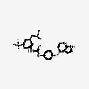 O=C(Nc1ccc(Oc2ccnc3[nH]ccc23)cc1)Nc1cc(CC(F)F)cc(C(F)(F)F)c1